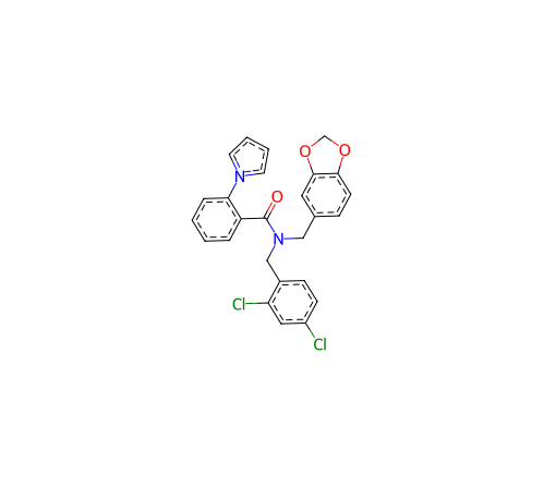 O=C(c1ccccc1-n1cccc1)N(Cc1ccc2c(c1)OCO2)Cc1ccc(Cl)cc1Cl